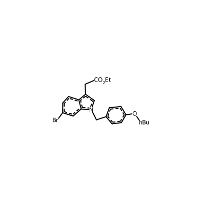 CCCCOc1ccc(Cn2cc(CC(=O)OCC)c3ccc(Br)cc32)cc1